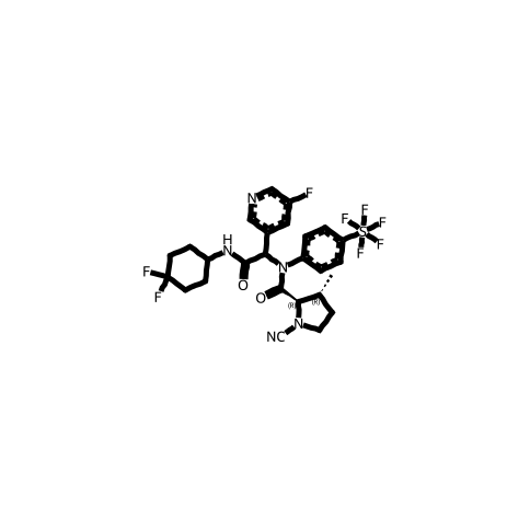 C[C@@H]1CCN(C#N)[C@H]1C(=O)N(c1ccc(S(F)(F)(F)(F)F)cc1)C(C(=O)NC1CCC(F)(F)CC1)c1cncc(F)c1